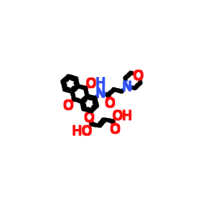 O=C(CCN1CCOCC1)Nc1cccc2c1C(=O)c1ccccc1C2=O.O=C(O)C=CC(=O)O